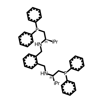 CC(C)[C@H](CP(c1ccccc1)c1ccccc1)NCc1ccccc1CN[C@@H](CP(c1ccccc1)c1ccccc1)C(C)C